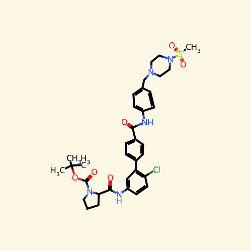 CC(C)(C)OC(=O)N1CCCC1C(=O)Nc1ccc(Cl)c(-c2ccc(C(=O)Nc3ccc(CN4CCN(S(C)(=O)=O)CC4)cc3)cc2)c1